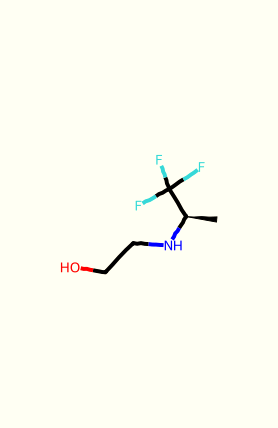 C[C@@H](NCCO)C(F)(F)F